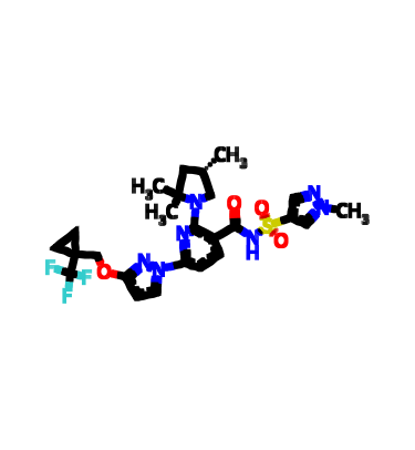 C[C@@H]1CN(c2nc(-n3ccc(OCC4(C(F)(F)F)CC4)n3)ccc2C(=O)NS(=O)(=O)c2cnn(C)c2)C(C)(C)C1